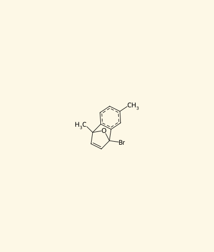 Cc1ccc2c(c1)C1(Br)C=CC2(C)O1